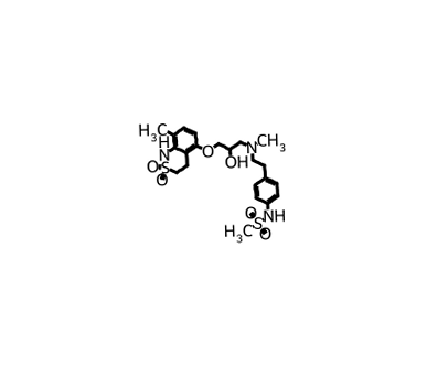 Cc1ccc(OCC(O)CN(C)CCc2ccc(NS(C)(=O)=O)cc2)c2c1NS(=O)(=O)CC2